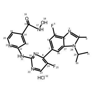 Cc1nc2c(F)cc(-c3nc(Nc4cc(C(=O)NO)ccn4)ncc3F)cc2n1C(C)C.Cl